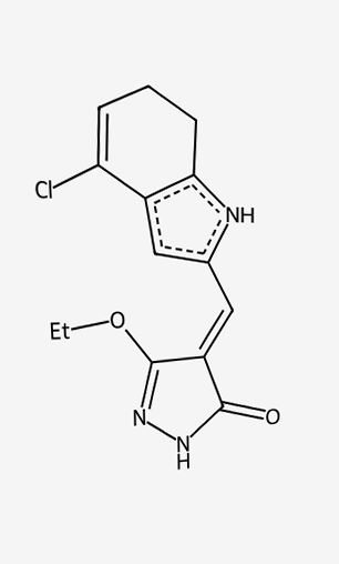 CCOC1=NNC(=O)C1=Cc1cc2c([nH]1)CCC=C2Cl